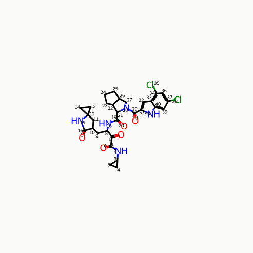 O=C(NC1CC1)C(=O)C(CC1CC2(CC2)NC1=O)NC(=O)C1C2CCCC2CN1C(=O)c1cc2c(Cl)cc(Cl)cc2[nH]1